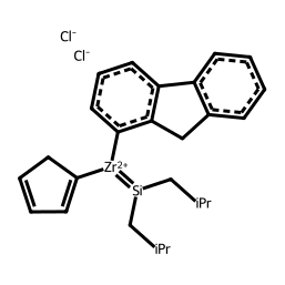 CC(C)C[Si](CC(C)C)=[Zr+2]([C]1=CC=CC1)[c]1cccc2c1Cc1ccccc1-2.[Cl-].[Cl-]